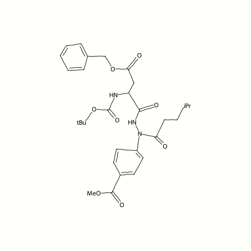 COC(=O)c1ccc(N(NC(=O)C(CC(=O)OCc2ccccc2)NC(=O)OC(C)(C)C)C(=O)CCC(C)C)cc1